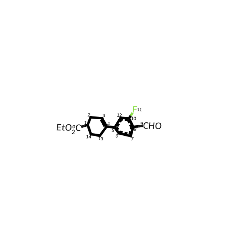 CCOC(=O)C1CC=C(c2ccc(C=O)c(F)c2)CC1